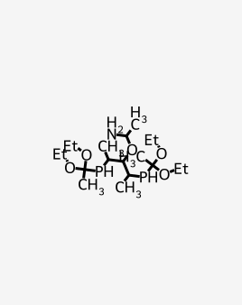 CCOC(C)(OCC)PC(C)C(OC(C)N)C(C)PC(C)(OCC)OCC